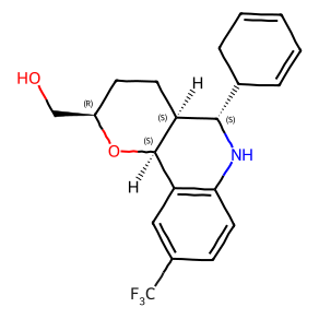 OC[C@H]1CC[C@@H]2[C@H](O1)c1cc(C(F)(F)F)ccc1N[C@H]2C1C=CC=CC1